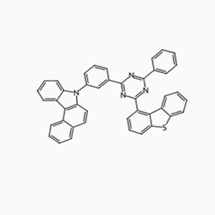 c1ccc(-c2nc(-c3cccc(-n4c5ccccc5c5c6ccccc6ccc54)c3)nc(-c3cccc4sc5ccccc5c34)n2)cc1